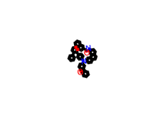 c1ccc(-c2ccccc2-c2ccc(N(c3ccc4oc5ccccc5c4c3)c3ccc4ccc5ccc6nc(-c7ccc8ccccc8c7)oc6c5c4c3)cc2)cc1